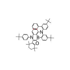 Cc1cc2c3c(c1)N(c1ccc(C(C)(C)C)cc1)c1c(oc4c1C(C)(C)CCC4(C)C)B3c1ccc(C(C)(C)C)cc1N2c1ccc(C(C)(C)C)cc1-c1ccccc1